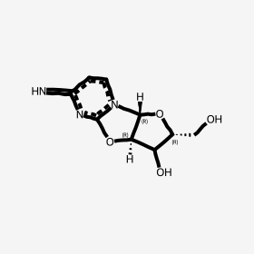 N=c1ccn2c(n1)O[C@@H]1C(O)[C@@H](CO)O[C@H]12